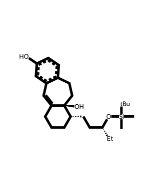 CC[C@H](CC[C@@H]1CCCC2=Cc3cc(O)ccc3CC[C@@]21O)O[Si](C)(C)C(C)(C)C